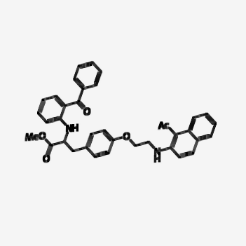 COC(=O)C(Cc1ccc(OCCNc2ccc3ccccc3c2C(C)=O)cc1)Nc1ccccc1C(=O)c1ccccc1